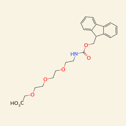 O=C(O)COCCOCCOCCNC(=O)OCC1c2ccccc2-c2ccccc21